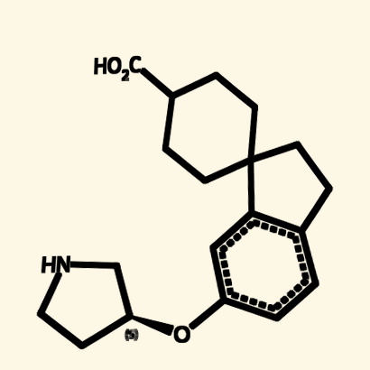 O=C(O)C1CCC2(CCc3ccc(O[C@H]4CCNC4)cc32)CC1